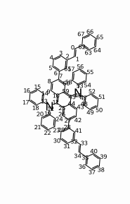 C(=C\c1cccc(-c2ccc3c(N(c4ccccc4)c4ccccc4)c4cc(-c5cccc(/C=C/c6ccccc6)c5)ccc4c(N(c4ccccc4)c4ccccc4)c3c2)c1)/c1ccccc1